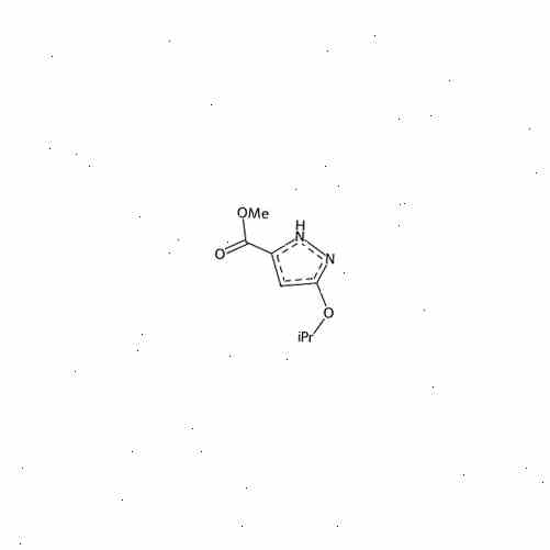 COC(=O)c1cc(OC(C)C)n[nH]1